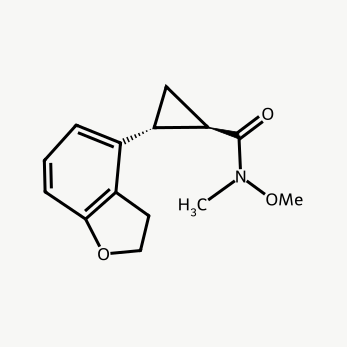 CON(C)C(=O)[C@@H]1C[C@H]1c1cccc2c1CCO2